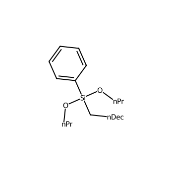 CCCCCCCCCCC[Si](OCCC)(OCCC)c1ccccc1